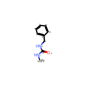 CCCNC(=O)NCc1cc[c]cc1